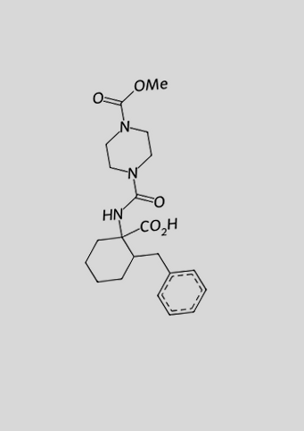 COC(=O)N1CCN(C(=O)NC2(C(=O)O)CCCCC2Cc2ccccc2)CC1